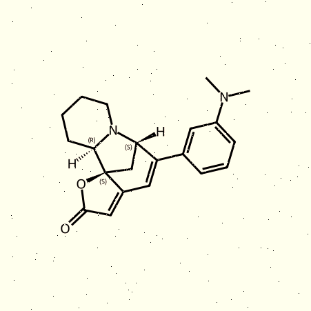 CN(C)c1cccc(C2=CC3=CC(=O)O[C@@]34C[C@@H]2N2CCCC[C@@H]24)c1